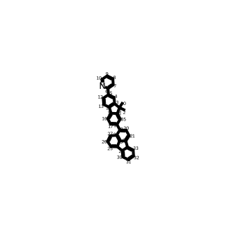 CC1(C)c2cc(-c3ccccn3)ccc2-c2ccc(-c3ccc4c5c(cccc35)-c3ccccc3-4)cc21